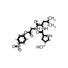 CC(C)CC(NC(=O)C1CCCN1)C(=O)NCC(=O)Oc1ccc([N+](=O)[O-])cc1.Cl